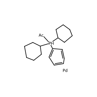 CC(=O)[PH](c1ccccc1)(C1CCCCC1)C1CCCCC1.[Pd]